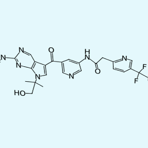 CC(C)(CO)n1cc(C(=O)c2cncc(NC(=O)Cc3ccc(C(F)(F)F)cn3)c2)c2cnc(N)nc21